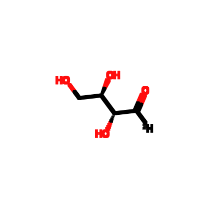 [2H]C(=O)[C@H](O)[C@H](O)CO